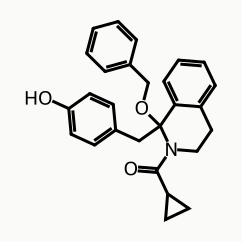 O=C(C1CC1)N1CCc2ccccc2C1(Cc1ccc(O)cc1)OCc1ccccc1